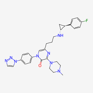 CN1CCN(c2nc(CCCN[C@@H]3C[C@H]3c3ccc(F)cc3)cn(-c3ccc(-n4ccnn4)cc3)c2=O)CC1